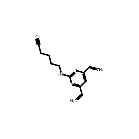 C#CCCCCNc1nc(C=C)cc(C=C)n1